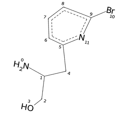 NC(CO)Cc1cccc(Br)n1